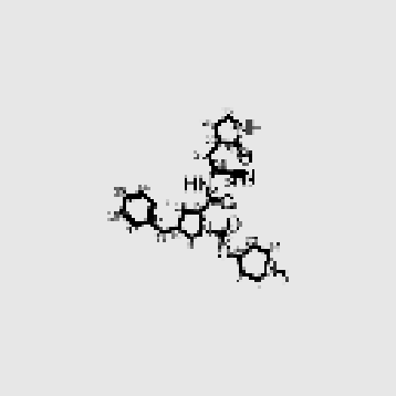 CN1CCC(OC(=O)N2CC(Cc3ccccc3)CC2C(=O)NC(C#N)CC2CCNC2=O)CC1